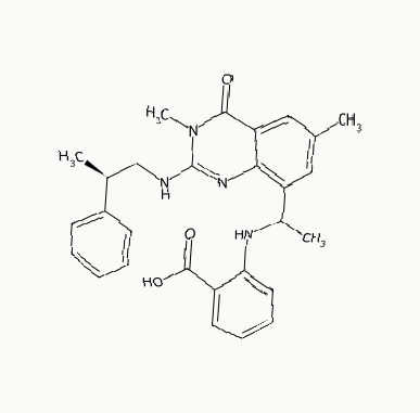 Cc1cc(C(C)Nc2ccccc2C(=O)O)c2nc(NC[C@H](C)c3ccccc3)n(C)c(=O)c2c1